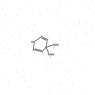 CNC1(NC)C=CNC=C1